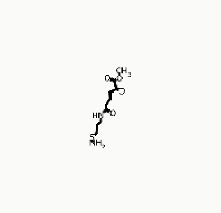 COC(=O)C(=O)CCCC(=O)NCCCSN